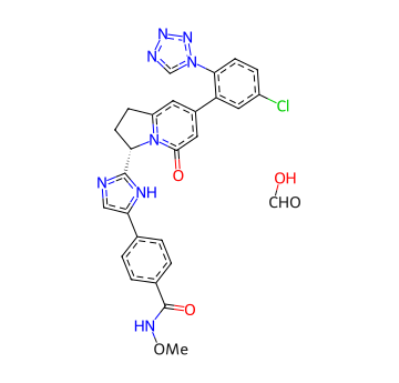 CONC(=O)c1ccc(-c2cnc([C@@H]3CCc4cc(-c5cc(Cl)ccc5-n5cnnn5)cc(=O)n43)[nH]2)cc1.O=CO